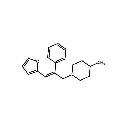 CC1CCN(C/C(=C/c2ccco2)c2ccccc2)CC1